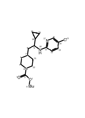 CC(C)(C)OC(=O)N1CCC(CC(Nc2ccc(Cl)cn2)C2CC2)CC1